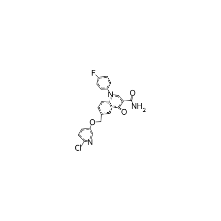 NC(=O)c1cn(-c2ccc(F)cc2)c2ccc(COc3ccc(Cl)nc3)cc2c1=O